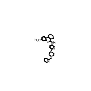 Cc1ccc(C2=C(C(=O)Nc3ccc(N4CCN(Cc5ccccn5)CC4)nc3)CCCC2)cc1